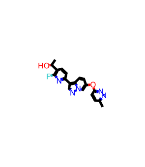 Cc1ccc(Oc2ccc3c(-c4ccc(C(C)O)c(F)n4)cnn3c2)nn1